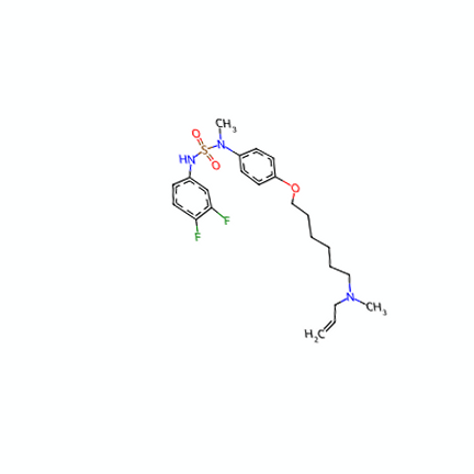 C=CCN(C)CCCCCCOc1ccc(N(C)S(=O)(=O)Nc2ccc(F)c(F)c2)cc1